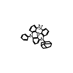 C[Si]1(C)c2cccc3c2B2c4c(cccc4N(C45CC6CC(CC(C6)C4)C5)c4cccc1c42)N3c1ccccc1